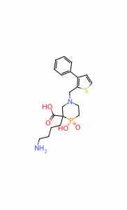 NCCCCC1(C(=O)O)CN(Cc2sccc2-c2ccccc2)CCP1(=O)O